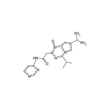 CC(C)c1nn(CC(=O)Nc2ccncn2)c(=O)c2cc(C(P)P)cn12